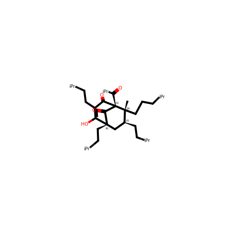 CC(C)CCC[C@]1(C)[C@@H](CCC(C)C)C[C@@]2(CCC(C)C)C(=O)[C@]1(C(=O)C(C)C)C(=O)C(CCC(C)C)=C2O